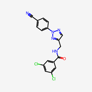 N#Cc1ccc(-n2ncc(CNC(=O)c3cc(Cl)cc(Cl)c3)n2)cc1